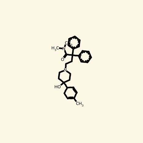 CC1=CCC(C2(O)CCN(CCC(C(=O)N(C)C)(c3ccccc3)c3ccccc3)CC2)C=C1